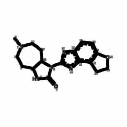 CN1CCC2NC(=O)N(c3nc4c5c(ccc4s3)OCC5)C2CC1